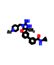 CC(=O)N1CCC(CN2C(=N)NC(C)(c3cccc(-c4cccc(C(=O)NC5CC5)c4)c3)C2=O)CC1